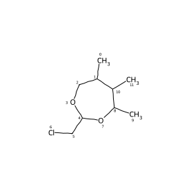 CC1COC(CCl)OC(C)C1C